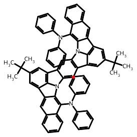 CC(C)(C)c1cc2c3cc4c(cc3n3c5c(N(c6ccccc6)c6ccccc6)c6ccccc6cc5c(c1)c23)c1cc(C(C)(C)C)cc2c3cc5ccccc5c(N(c5ccccc5)c5ccccc5)c3n4c12